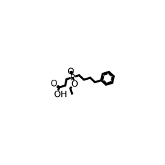 CCOP(=O)(CCCCc1ccccc1)CCC(=O)O